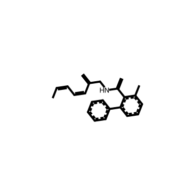 C=C(/C=C\C=C/C)CNC(=C)c1c(C)cccc1-c1ccccc1